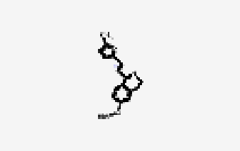 CCCCOc1ccc2c(c1)CCN=C2/C=C/c1ccc(C)s1